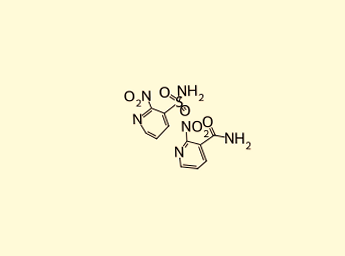 NC(=O)c1cccnc1[N+](=O)[O-].NS(=O)(=O)c1cccnc1[N+](=O)[O-]